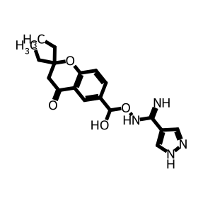 CCC1(CC)CC(=O)c2cc(C(O)ONC(=N)c3cn[nH]c3)ccc2O1